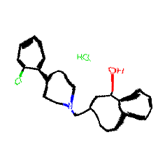 Cl.OC1CC(CN2CCC(c3ccccc3Cl)CC2)CCc2ccccc21